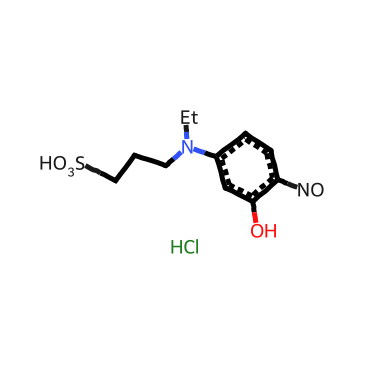 CCN(CCCS(=O)(=O)O)c1ccc(N=O)c(O)c1.Cl